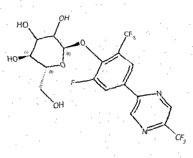 OC[C@H]1O[C@H](Oc2c(F)cc(-c3cnc(C(F)(F)F)cn3)cc2C(F)(F)F)C(O)C(O)[C@@H]1O